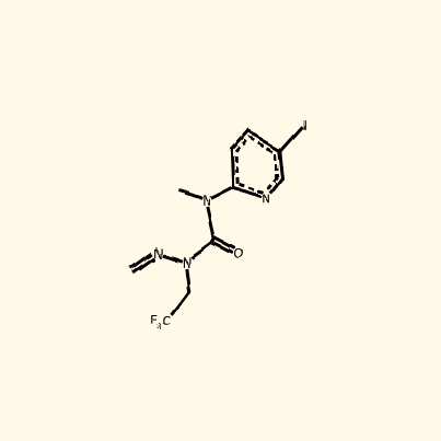 C=NN(CC(F)(F)F)C(=O)N(C)c1ccc(I)cn1